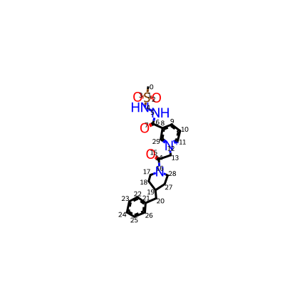 CS(=O)(=O)NNC(=O)c1ccc[n+](CC(=O)N2CCC(Cc3ccccc3)CC2)c1